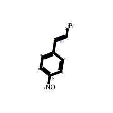 CC(C)/C=C/c1ccc(N=O)cc1